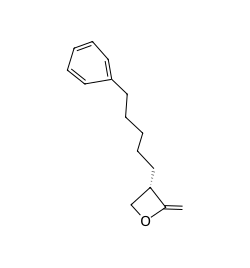 C=C1OC[C@@H]1CCCCCc1ccccc1